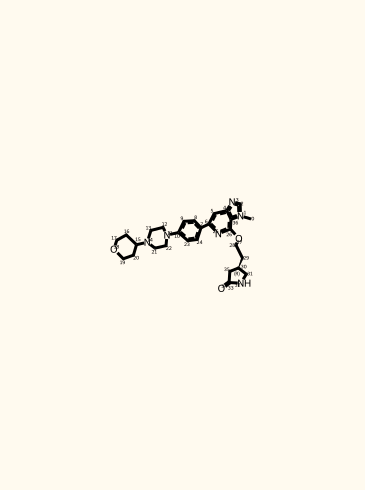 Cn1cnc2cc(-c3ccc(N4CCN(C5CCOCC5)CC4)cc3)nc(OCC[C@H]3CNC(=O)C3)c21